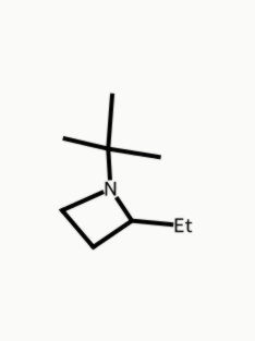 CCC1CCN1C(C)(C)C